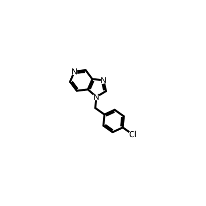 Clc1ccc(Cn2cnc3cnccc32)cc1